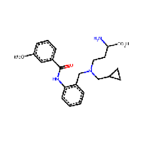 COc1cccc(C(=O)Nc2ccccc2CN(CCC(N)C(=O)O)CC2CC2)c1